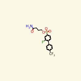 NC(=O)CCCOS(=O)(=O)c1ccc(-c2ccc(C(F)(F)F)cc2)c(F)c1